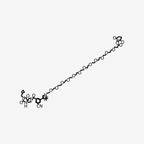 N#Cc1cc(C(=O)N2CC[C@]3(C2)NC(=O)N(CC2CCC2)C3=O)cc(-c2cn(CCOCCOCCOCCOCCOCCOCCOCCOCCOCCOCCOCCOCCC(=O)ON3C(=O)CCC3=O)nn2)c1